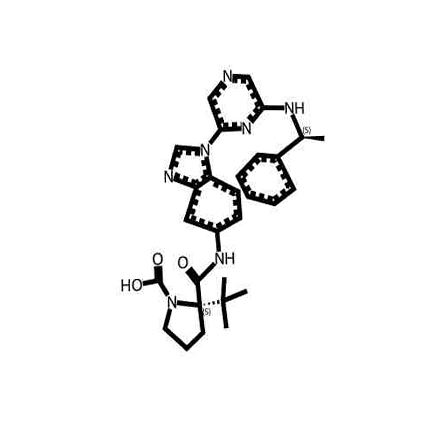 C[C@H](Nc1cncc(-n2cnc3cc(NC(=O)[C@@]4(C(C)(C)C)CCCN4C(=O)O)ccc32)n1)c1ccccc1